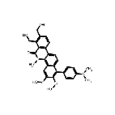 COc1cc2c(ccc3c4ccc(CO)c(CO)c4c(=O)n(C)c23)c(-c2ccc(N(C)C)cc2)c1OC